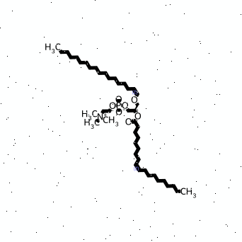 CCCCCCCCC/C=C\CCCCCCCC(=O)O[C@H](CO/C=C\CCCCCCCCCCCCCCCC)COP(=O)([O-])OCC[N+](C)(C)C